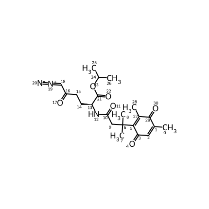 CC1=CC(=O)C(C(C)(C)CC(=O)N[C@@H](CCC(=O)C=[N+]=[N-])C(=O)OC(C)C)=C(C)C1=O